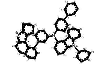 c1ccc(-c2ccc(N(c3cccc(-c4cccc5ccc6oc7ccccc7c6c45)c3)c3cccc4c3c3ccccc3n4-c3ccccc3)cc2)cc1